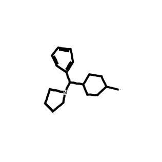 [CH2]C1CCC(C(c2ccccc2)N2CCCC2)CC1